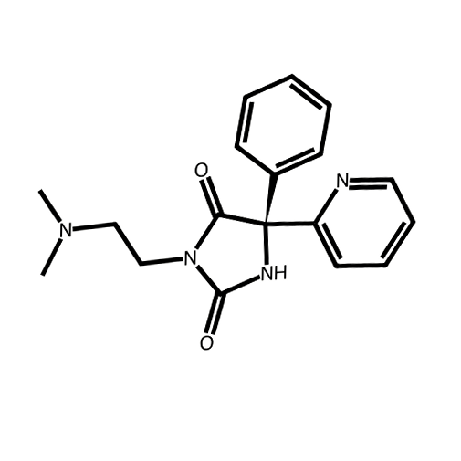 CN(C)CCN1C(=O)N[C@@](c2ccccc2)(c2ccccn2)C1=O